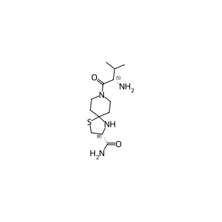 CC(C)[C@H](N)C(=O)N1CCC2(CC1)N[C@H](C(N)=O)CS2